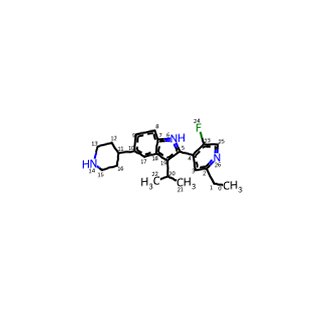 CCc1cc(-c2[nH]c3ccc(C4CCNCC4)cc3c2C(C)C)c(F)cn1